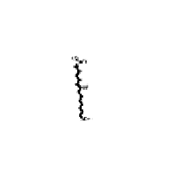 Br.CCCCCCCCCCCCCCCCCCCCC=CCN(CC)CC